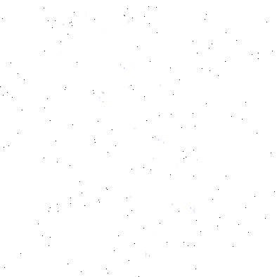 C[C@@H]1CN(c2ccc(C#N)c3ncccc23)C[C@H](C2=Nc3c(Br)cccc3CN2)O1